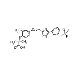 Cc1cc(OCCc2nc(-c3ccc(OC(F)(F)F)cc3)ns2)ccc1SC(C)(C)C(=O)O